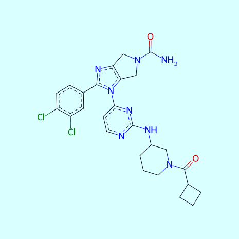 NC(=O)N1Cc2nc(-c3ccc(Cl)c(Cl)c3)n(-c3ccnc(NC4CCCN(C(=O)C5CCC5)C4)n3)c2C1